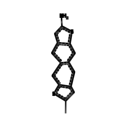 Cc1cc2cc3cc4sc(N)cc4cc3cc2s1